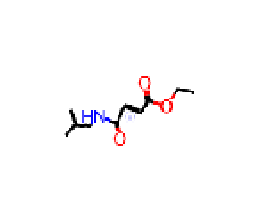 CCOC(=O)/C=C/C(=O)NCC(C)C